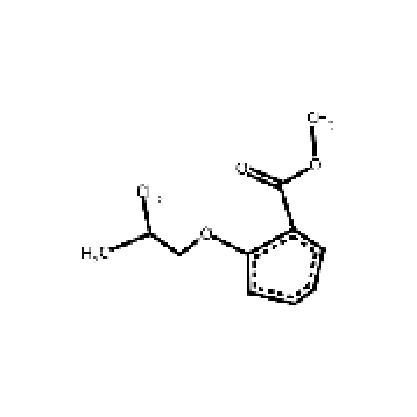 COC(=O)c1ccccc1OCC(C)C